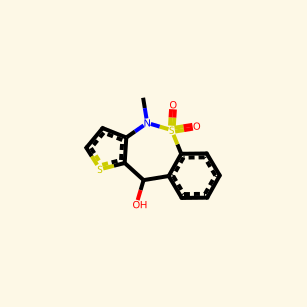 CN1c2ccsc2C(O)c2ccccc2S1(=O)=O